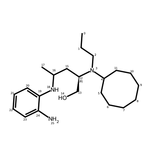 CCCN(C1CCCCCCC1)[C@@H](CO)CC(C)Nc1ccccc1N